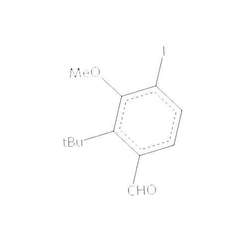 COc1c(I)ccc(C=O)c1C(C)(C)C